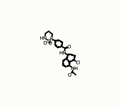 CC(=O)Nc1cccc2c(NC(=O)c3ccc(N4CCCNS4(=O)=O)cc3)ccc(Cl)c12